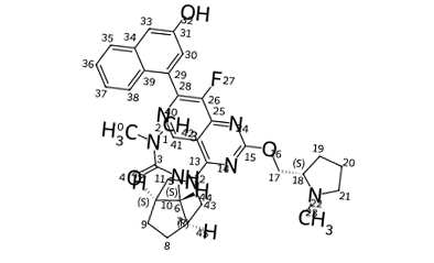 CN(C)C(=O)N[C@@H]1[C@@H]2CC[C@H]1CN(c1nc(OC[C@@H]3CCCN3C)nc3c(F)c(-c4cc(O)cc5ccccc45)ncc13)C2